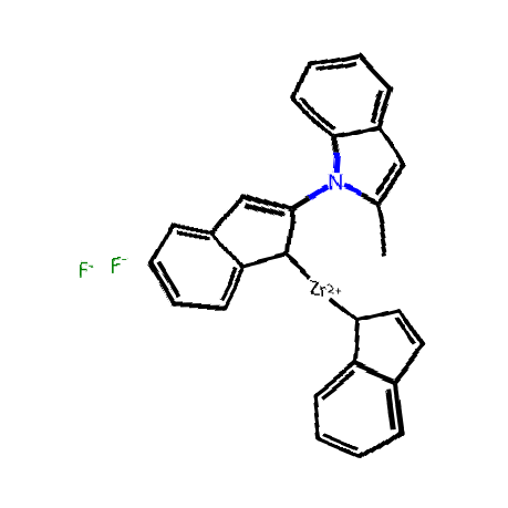 Cc1cc2ccccc2n1C1=Cc2ccccc2[CH]1[Zr+2][CH]1C=Cc2ccccc21.[F-].[F-]